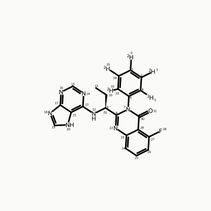 [2H]c1c([2H])c([2H])c(-n2c([C@H](CC)Nc3ncnc4nc[nH]c34)nc3cccc(F)c3c2=O)c([2H])c1[2H]